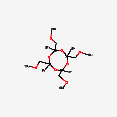 CC(C)[Si]1(COC(C)(C)C)O[Si](COC(C)(C)C)(C(C)C)O[Si](COC(C)(C)C)(C(C)C)O[Si](COC(C)(C)C)(C(C)C)O1